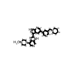 CN1CCN(c2cncc3[nH]c(-c4n[nH]c5ncc(-c6cncc(CN7CCCCC7)c6)cc45)nc23)CC1